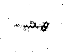 CC(CCCC=C(CBr)COc1cccc2ccccc12)C(=O)O